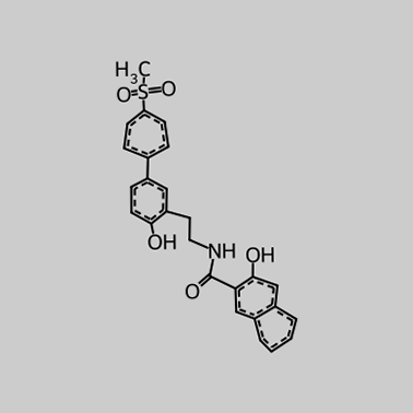 CS(=O)(=O)c1ccc(-c2ccc(O)c(CCNC(=O)c3cc4ccccc4cc3O)c2)cc1